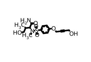 CC(CO)C(C(N)=O)N(C)S(=O)(=O)c1ccc(OCC#CCO)cc1